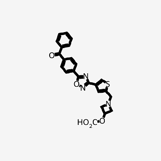 O=C(O)OC1CN(Cc2cc(-c3noc(-c4ccc(C(=O)c5ccccc5)cc4)n3)cs2)C1